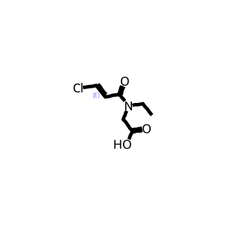 CCN(CC(=O)O)C(=O)/C=C/Cl